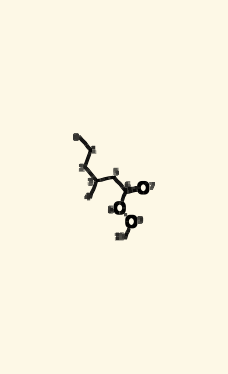 CCCC(C)CC(=O)OOC